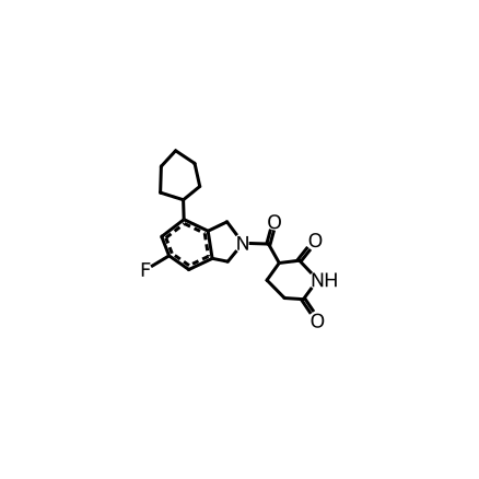 O=C1CCC(C(=O)N2Cc3cc(F)cc(C4CCCCC4)c3C2)C(=O)N1